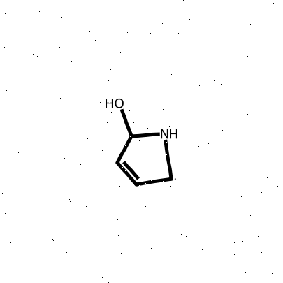 OC1C=C[CH]N1